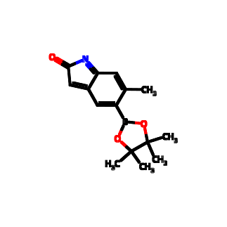 Cc1cc2c(cc1B1OC(C)(C)C(C)(C)O1)=CC(=O)N=2